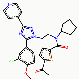 COc1ccc(-c2nc(-c3ccncc3)nn2CCN(C(=O)c2ccc(C(C)=O)s2)C2CCCC2)cc1Cl